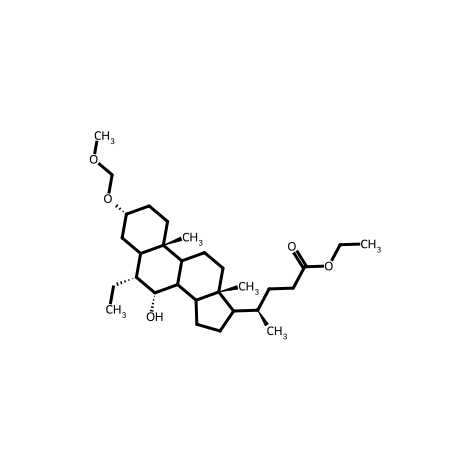 CCOC(=O)CC[C@@H](C)C1CCC2C3C(CC[C@@]21C)[C@@]1(C)CC[C@@H](OCOC)CC1[C@@H](CC)[C@H]3O